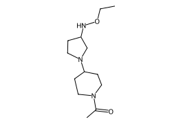 CCONC1CCN(C2CCN(C(C)=O)CC2)C1